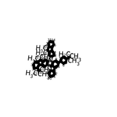 CC(C)(C)c1ccc(-c2cc(N(c3ccc4c(c3)C(C)(C)c3ccccc3-4)c3ccc4c(c3)C(C)(C)c3cccc(C(C)(C)C)c3-4)c3oc4ccccc4c3c2)cc1